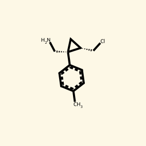 Cc1ccc([C@@]2(CN)C[C@@H]2CCl)cc1